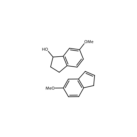 COc1ccc2c(c1)C(O)CC2.COc1ccc2c(c1)C=CC2